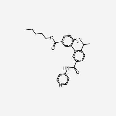 CCCCCOC(=O)c1cccc(-c2cc(C(=O)Nc3ccncc3)ccc2C(C)N)c1